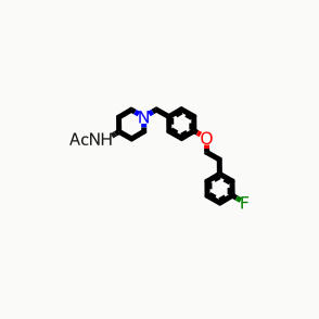 CC(=O)NC1CCN(Cc2ccc(OCCc3cccc(F)c3)cc2)CC1